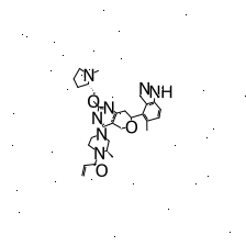 C=CC(=O)N1CCN(c2nc(OC[C@@H]3CCCN3C)nc3c2COC(c2c(C)ccc4[nH]ncc24)C3)C[C@H]1C